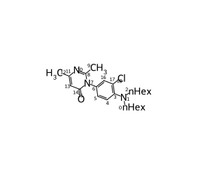 CCCCCCN(CCCCCC)c1ccc(-n2c(C)nc(C)cc2=O)cc1Cl